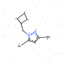 CC(=O)c1cc(C(C)(C)C)nn1CC1CCC1